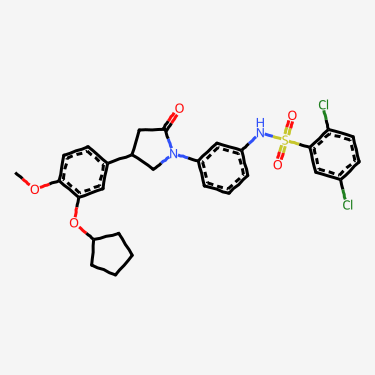 COc1ccc(C2CC(=O)N(c3cccc(NS(=O)(=O)c4cc(Cl)ccc4Cl)c3)C2)cc1OC1CCCC1